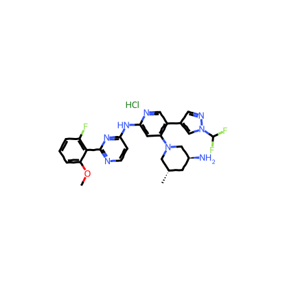 COc1cccc(F)c1-c1nccc(Nc2cc(N3C[C@@H](C)C[C@H](N)C3)c(-c3cnn(C(F)F)c3)cn2)n1.Cl